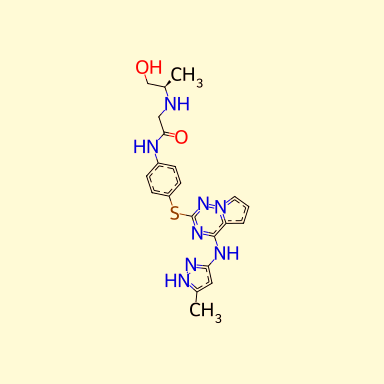 Cc1cc(Nc2nc(Sc3ccc(NC(=O)CN[C@H](C)CO)cc3)nn3cccc23)n[nH]1